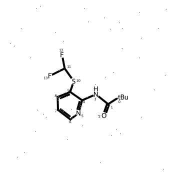 CC(C)(C)C(=O)Nc1ncccc1SC(F)F